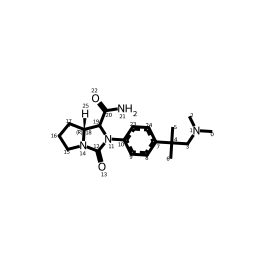 CN(C)CC(C)(C)c1ccc(N2C(=O)N3CC[CH][C@@H]3C2C(N)=O)cc1